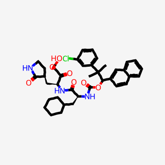 CC(C)(c1cccc(Cl)c1)C(OC(=O)N[C@@H](CC1CCCCC1)C(=O)N[C@@H](C[C@@H]1CCNC1=O)C(=O)C(=O)O)c1ccc2ccccc2c1